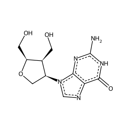 Nc1nc2c(ncn2[C@H]2CO[C@@H](CO)[C@H]2CO)c(=O)[nH]1